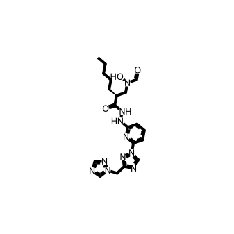 CCCCC[C@@H](CN(O)C=O)C(=O)NNc1cccc(-n2cnc(Cn3cncn3)n2)n1